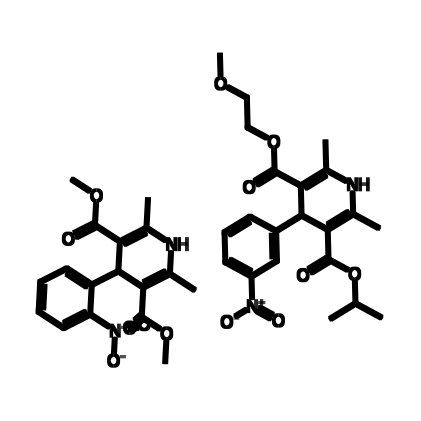 COC(=O)C1=C(C)NC(C)=C(C(=O)OC)C1c1ccccc1[N+](=O)[O-].COCCOC(=O)C1=C(C)NC(C)=C(C(=O)OC(C)C)C1c1cccc([N+](=O)[O-])c1